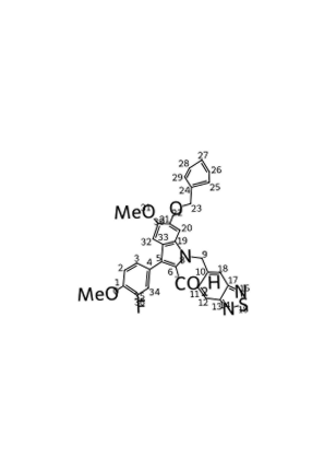 COc1ccc(-c2c(C(=O)O)n(Cc3ccc4nsnc4c3)c3cc(OCc4ccccc4)c(OC)cc23)cc1F